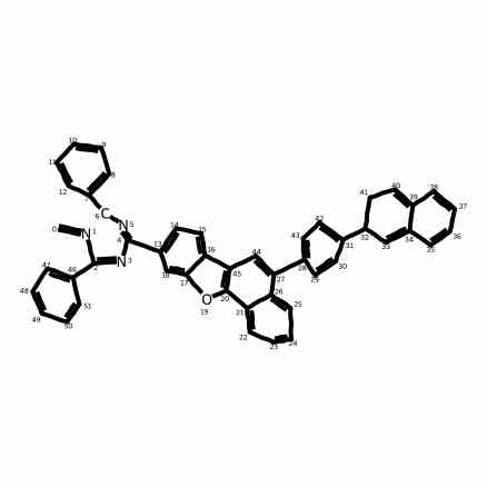 C=N/C(=N\C(=N/Cc1ccccc1)c1ccc2c(c1)oc1c3ccccc3c(-c3ccc(C4C=c5ccccc5=CC4)cc3)cc21)c1ccccc1